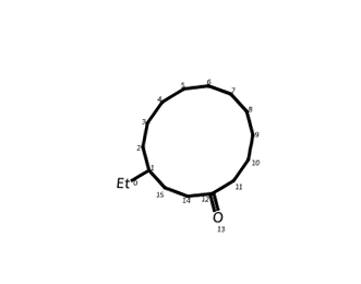 CCC1CCCCCCCCCCC(=O)CC1